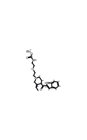 C/C=C1/CN(CCOCCNC(=O)OC(C)(C)C)CCC1C(=O)c1cc2ccccc2[nH]1